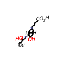 CCC(C)CC[C@@H](O)/C=C/[C@@H]1[C@H]2C/C(=C/CCCC(=O)O)C[C@@H]2C[C@H]1O